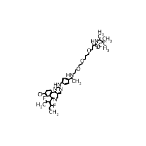 C=C/C(F)=C(\C(=C)F)C1=NCc2cnc(Nc3ccc(C(=C)NCCOCCOCCCOCCC(=O)NC(C)C(C)(C)C)cc3)nc2-c2ccc(Cl)cc21